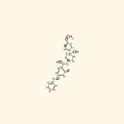 COc1ccc(C2(O)CCN(CC(O)c3ccc(OCc4ccccc4)cc3F)CC2)cn1